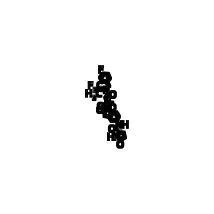 C[C@H](N(Cc1ccc(F)cc1)C(=O)CN1CO[C@]2(C(=O)Cc3cc(NC(=O)[C@@H]4CCC(=O)N4)ccc32)C1=O)C(F)(F)F